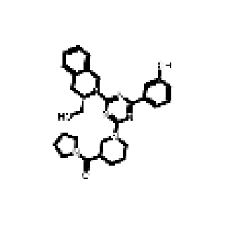 O=C(C1CCCN(c2nc(-c3cccc(O)c3)nc(N3Cc4ccccc4C[C@@H]3CO)n2)C1)N1CCCC1